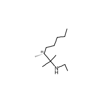 CCCCC[C@@H](C)C(C)(C)NCC